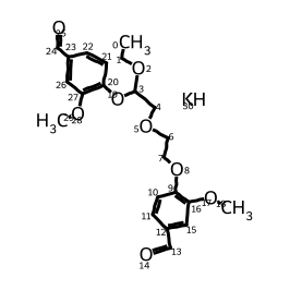 CCOC(COCCOc1ccc(C=O)cc1OC)Oc1ccc(C=O)cc1OC.[KH]